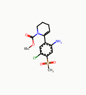 CC(C)(C)OC(=O)N1CCCC=C1c1cc(Cl)c(S(C)(=O)=O)cc1N